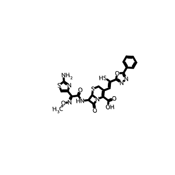 CON=C(C(=O)NC1C(=O)N2C(C(=O)O)=C(C=C(S)c3nnc(-c4ccccc4)o3)CSC12)c1csc(N)n1